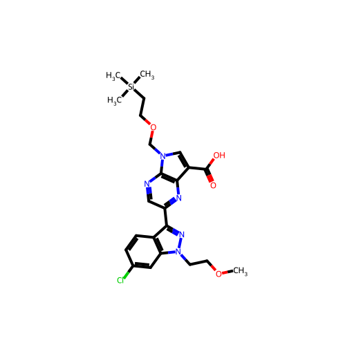 COCCn1nc(-c2cnc3c(n2)c(C(=O)O)cn3COCC[Si](C)(C)C)c2ccc(Cl)cc21